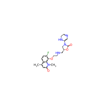 Cc1cc(=O)n(C)c2c(OCCNC[C@H]3CN(C4=CN=CCN4)C(=O)O3)c(F)ccc12